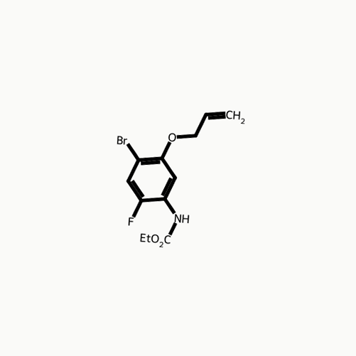 C=CCOc1cc(NC(=O)OCC)c(F)cc1Br